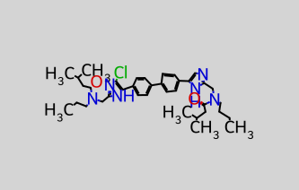 CCCCN(Cc1ncc(-c2ccc(-c3ccc(-c4[nH]c(CN(CCC)C(=O)CC(C)C)nc4Cl)cc3)cc2)[nH]1)C(=O)CC(C)C